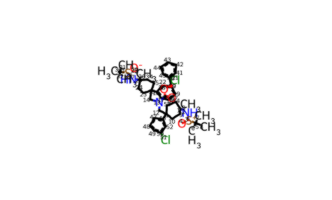 CC1(N[S+]([O-])C(C)(C)C)CCC(CN(CC2(c3cccc(Cl)c3)CCC(C)(N[S+]([O-])C(C)(C)C)CC2)C(=O)OCc2ccccc2)(c2cccc(Cl)c2)CC1